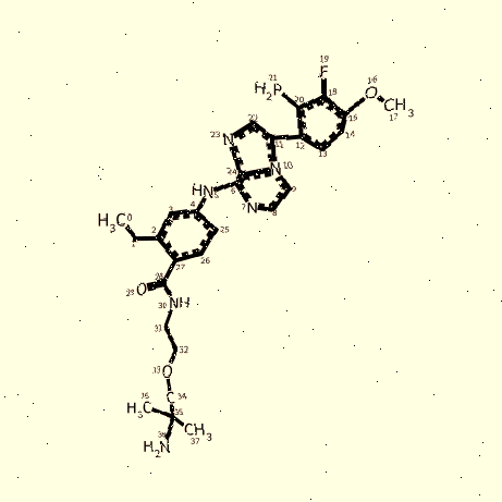 CCc1cc(Nc2nccn3c(-c4ccc(OC)c(F)c4P)cnc23)ccc1C(=O)NCCOCC(C)(C)N